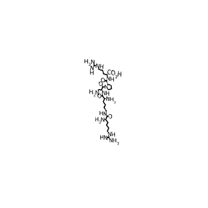 N=C(N)NCCCCC(N)C(=O)NCCCC[C@H](N)C(=O)NC(CN)C(=O)N1CCCC1C(=O)NC(CCCNC(=N)N)C(=O)O